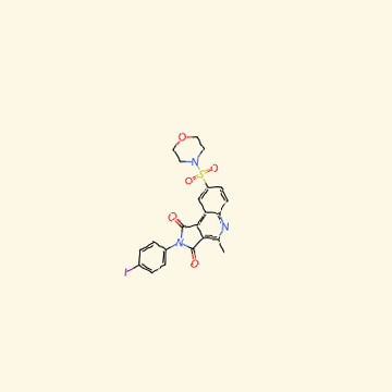 Cc1nc2ccc(S(=O)(=O)N3CCOCC3)cc2c2c1C(=O)N(c1ccc(I)cc1)C2=O